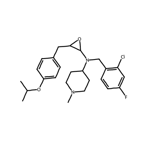 CC(C)Oc1ccc(CC2OC2N(Cc2ccc(F)cc2Cl)C2CCN(C)CC2)cc1